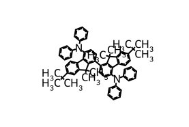 CC(C)(C)c1ccc2c(c1)C(C)(C)c1c(-c3ccc(N(c4ccccc4)c4ccccc4)c4c3C(C)(C)c3cc(C(C)(C)C)ccc3-4)ccc(N(c3ccccc3)c3ccccc3)c1-2